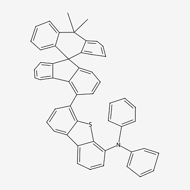 CC1(C)c2ccccc2C2(c3ccccc3-c3c(-c4cccc5c4sc4c(N(c6ccccc6)c6ccccc6)cccc45)cccc32)c2ccccc21